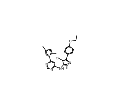 CCOc1ccc(-c2n[nH]c(Nc3cc(-n4nc(C)cc4C)ncn3)c2Cl)cc1